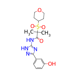 CC(C)(C(=O)Nc1nc(-c2cccc(O)c2)n[nH]1)S(=O)(=O)C1CCOCC1